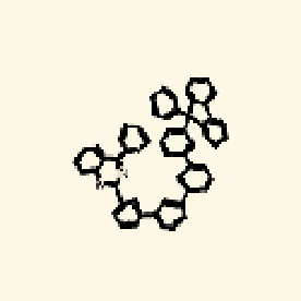 c1ccc(-c2nc(-c3cccc(-c4cccc(-c5cccc(-c6cccc(C7(c8ccccc8)c8ccccc8-c8ccccc87)c6)c5)c4)c3)nc3ccccc23)cc1